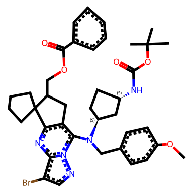 COc1ccc(CN(c2c3c(nc4c(Br)cnn24)C2(CCCC2)C(COC(=O)c2ccccc2)C3)[C@H]2CC[C@H](NC(=O)OC(C)(C)C)C2)cc1